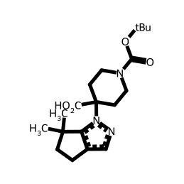 CC(C)(C)OC(=O)N1CCC(C(=O)O)(n2ncc3c2C(C)(C)CC3)CC1